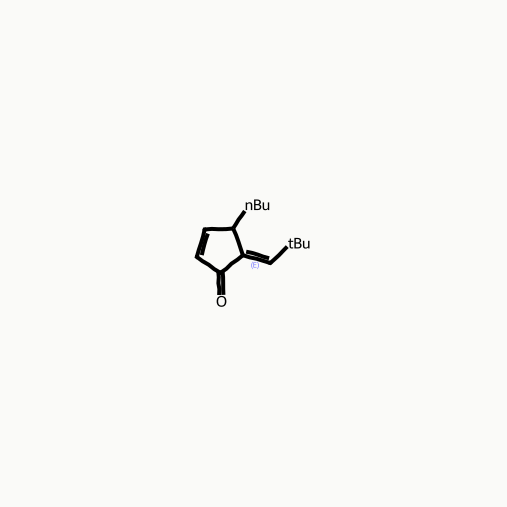 CCCCC1C=CC(=O)/C1=C/C(C)(C)C